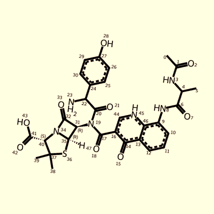 CC(=O)NC(C)C(=O)Nc1cccc2c(=O)c(C(=O)N(C(=O)C(N)c3ccc(O)cc3)[C@@H]3C(=O)N4[C@@H]3SC(C)(C)[C@@H]4C(=O)O)c[nH]c12